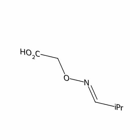 CC(C)C=NOCC(=O)O